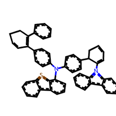 C1=CCC(c2ccc(N(c3ccc(C4=C(c5ccccc5)CCC=C4)cc3)c3cccc4c3sc3ccccc34)cc2)C(n2c3ccccc3c3ccccc32)=C1